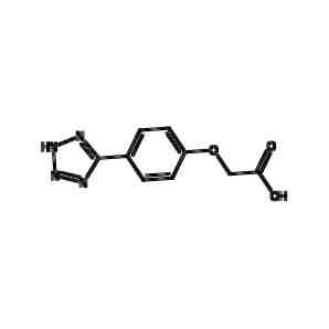 O=C(O)COc1ccc(-c2nn[nH]n2)cc1